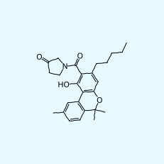 CCCCCc1cc2c(c(O)c1C(=O)N1CCC(=O)C1)-c1cc(C)ccc1C(C)(C)O2